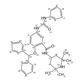 CC1(C)CC(NC(=O)c2cc(NC(=O)Nc3ccccc3)ccc2OC(c2ccccc2)c2ccccc2)CC(C)(C)N1